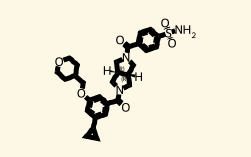 NS(=O)(=O)c1ccc(C(=O)N2C[C@@H]3CN(C(=O)c4cc(OCC5CCOCC5)cc(C5CC5)c4)C[C@H]3C2)cc1